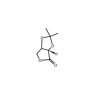 CC1(C)OC2COC(=O)[C@H]2O1